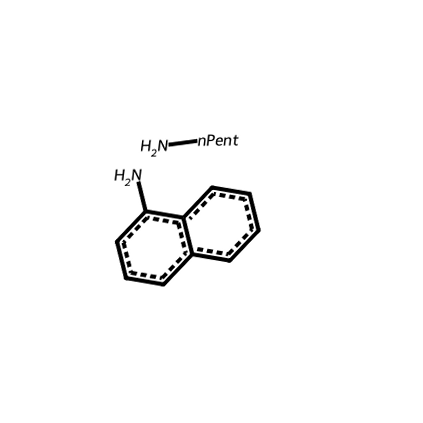 CCCCCN.Nc1cccc2ccccc12